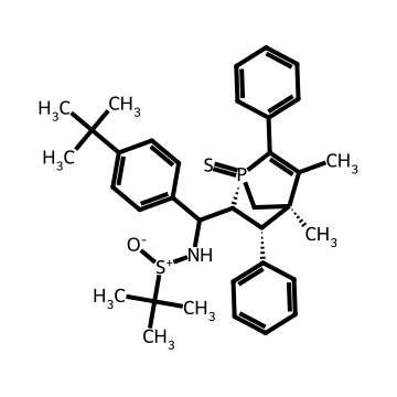 CC1=C(c2ccccc2)[P@]2(=S)C[C@]1(C)[C@H](c1ccccc1)C2C(N[S+]([O-])C(C)(C)C)c1ccc(C(C)(C)C)cc1